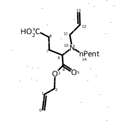 C=CCOC(=O)C(CCC(=O)O)N(CC=C)CCCCC